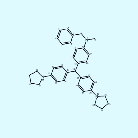 CN(Cc1ccccc1)c1ccc(C(c2ccc(N3CCCC3)cc2)c2ccc(N3CCCC3)cc2)cc1